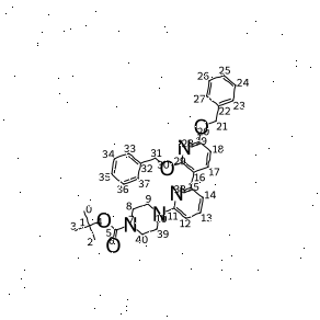 CC(C)(C)OC(=O)N1CCN(c2cccc(-c3ccc(OCc4ccccc4)nc3OCc3ccccc3)n2)CC1